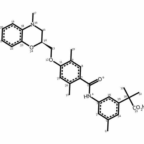 Cc1cc(NC(=O)c2cc(C)c(OC[C@@H]3CN(C)c4ccccc4O3)cc2C)cc(C(C)(C)C(=O)O)c1